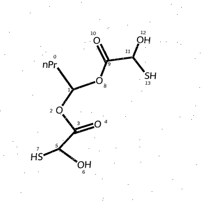 CCCC(OC(=O)C(O)S)OC(=O)C(O)S